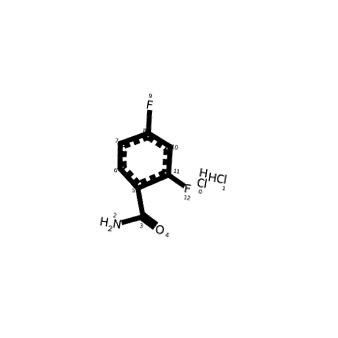 Cl.Cl.NC(=O)c1ccc(F)cc1F